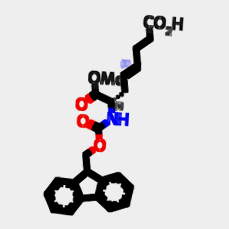 COC(=O)[C@H](C/C=C/CCC(=O)O)NC(=O)OCC1c2ccccc2-c2ccccc21